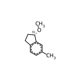 CO[C@H]1CCc2ccc(C)cc21